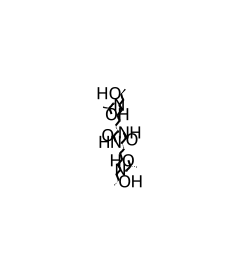 C[C@H](O)CN(CCCC[C@@H]1NC(=O)[C@H](CCCCN(C[C@@H](C)O)C[C@@H](C)O)NC1=O)C[C@H](C)O